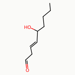 CCCCC(O)C=CCC=O